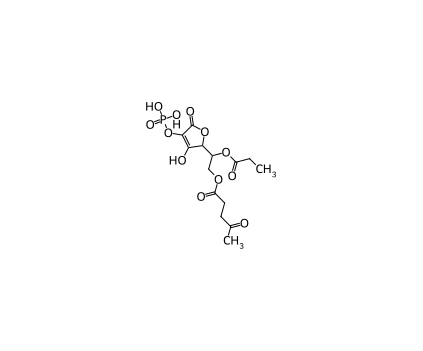 CCC(=O)OC(COC(=O)CCC(C)=O)C1OC(=O)C(OP(=O)(O)O)=C1O